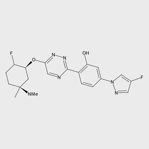 CN[C@@]1(C)CCC(F)[C@@H](Oc2cnc(-c3ccc(-n4cc(F)cn4)cc3O)nn2)C1